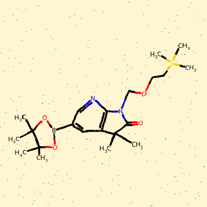 CC1(C)C(=O)N(COCCS(C)(C)C)c2ncc(B3OC(C)(C)C(C)(C)O3)cc21